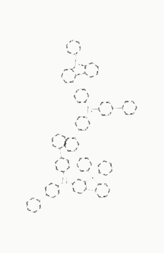 c1ccc(-c2ccc(N(c3ccc(-c4cccc(-c5ccc(C6(c7ccccc7)c7ccccc7-c7ccc(N(c8ccc(-c9ccccc9)cc8)c8ccc(-c9ccccc9)cc8)cc76)cc5)c4)cc3)c3ccc(-c4cccc5c4c4ccccc4n5-c4ccccc4)cc3)cc2)cc1